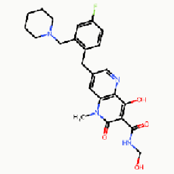 Cn1c(=O)c(C(=O)NCO)c(O)c2ncc(Cc3ccc(F)cc3CN3CCCCC3)cc21